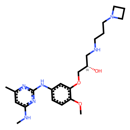 CNc1cc(C)nc(Nc2ccc(OC)c(OC[C@@H](O)CNCCCN3CCC3)c2)n1